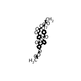 C=CC(=O)CC(=O)c1ccc(OC(=O)c2ccc(OCOC(=O)C=C)cc2-c2cccc(OC(=O)c3ccc(OCOC(=O)C=C)cc3)c2)cc1